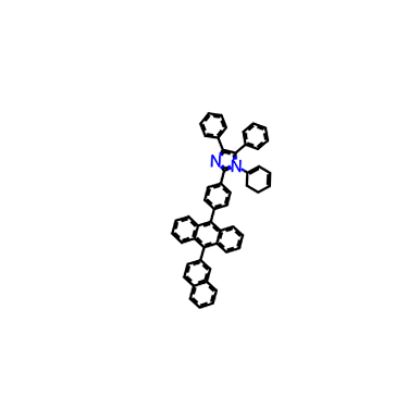 C1=CCCC(n2c(-c3ccc(-c4c5ccccc5c(-c5ccc6ccccc6c5)c5ccccc45)cc3)nc(-c3ccccc3)c2-c2ccccc2)=C1